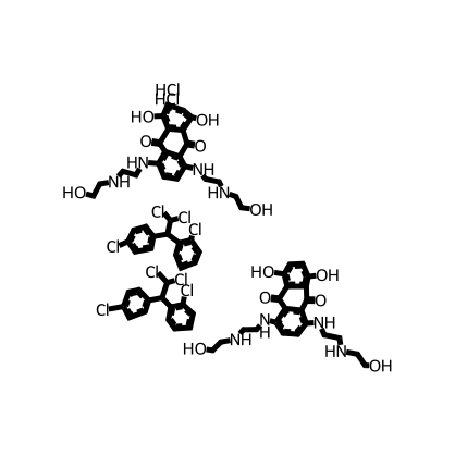 Cl.Cl.Clc1ccc(C(c2ccccc2Cl)C(Cl)Cl)cc1.Clc1ccc(C(c2ccccc2Cl)C(Cl)Cl)cc1.O=C1c2c(O)ccc(O)c2C(=O)c2c(NCCNCCO)ccc(NCCNCCO)c21.O=C1c2c(O)ccc(O)c2C(=O)c2c(NCCNCCO)ccc(NCCNCCO)c21